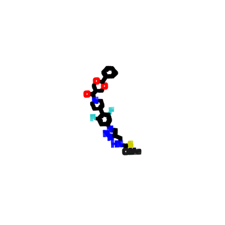 COC(=S)NCc1cn(-c2cc(F)c(C3=CCN(C(=O)C4COC(c5ccccc5)OC4)CC3)c(F)c2)nn1